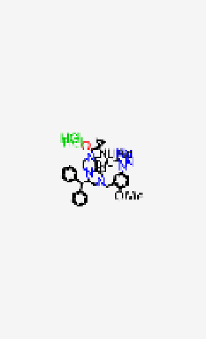 COc1ccc(-n2nnnc2C(F)(F)F)cc1CN1C[C@@H]2CN(C(=O)C3(NC(C)=O)CC3)CCN2[C@H](C(c2ccccc2)c2ccccc2)C1.Cl.Cl